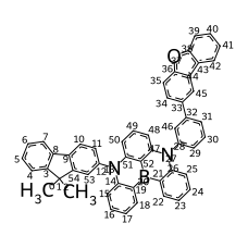 CC1(C)c2ccccc2-c2ccc(N3c4ccccc4B4c5ccccc5N(c5cccc(-c6ccc7oc8ccccc8c7c6)c5)c5cccc3c54)cc21